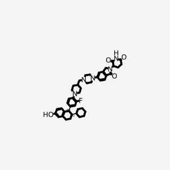 O=C1CCC(N2Cc3cc(N4CCN(CC5CCN(c6ccc([C@@H]7c8ccc(O)cc8CC[C@@H]7C7CCCCC7)cc6F)CC5)CC4)ccc3C2=O)C(=O)N1